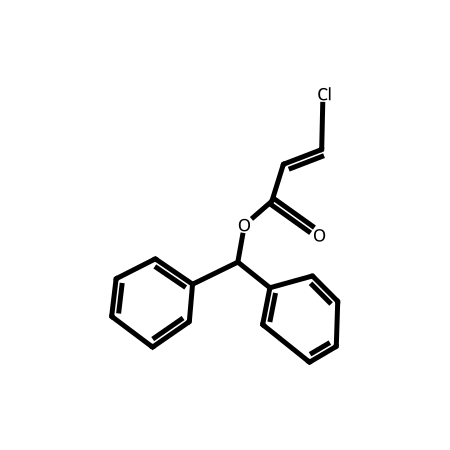 O=C(C=CCl)OC(c1ccccc1)c1ccccc1